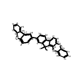 CC1(C)c2cc(-c3ccc4oc5ccccc5c4c3)ccc2-c2ccc3c(c21)Sc1ccccc1S3